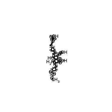 COCCS(=O)(=O)c1ccc(N=Nc2cc(S(=O)(=O)O)c3cc(SOOO)c(N=Nc4ccc(SC#COOS(=O)(=O)O)cc4)c(O)c3c2N)cc1